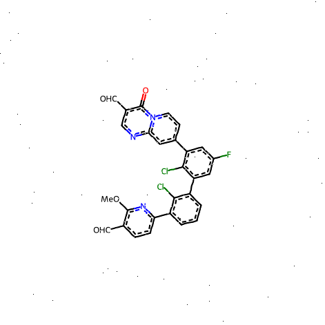 COc1nc(-c2cccc(-c3cc(F)cc(-c4ccn5c(=O)c(C=O)cnc5c4)c3Cl)c2Cl)ccc1C=O